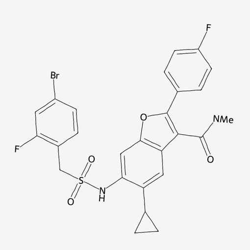 CNC(=O)c1c(-c2ccc(F)cc2)oc2cc(NS(=O)(=O)Cc3ccc(Br)cc3F)c(C3CC3)cc12